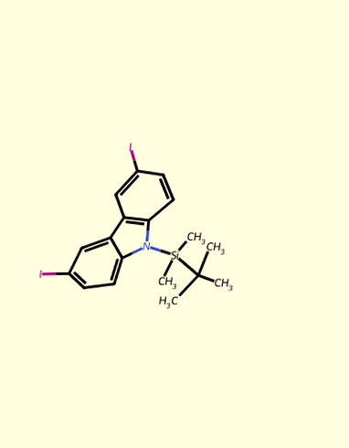 CC(C)(C)[Si](C)(C)n1c2ccc(I)cc2c2cc(I)ccc21